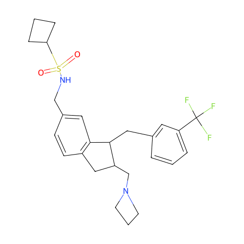 O=S(=O)(NCc1ccc2c(c1)C(Cc1cccc(C(F)(F)F)c1)C(CN1CCC1)C2)C1CCC1